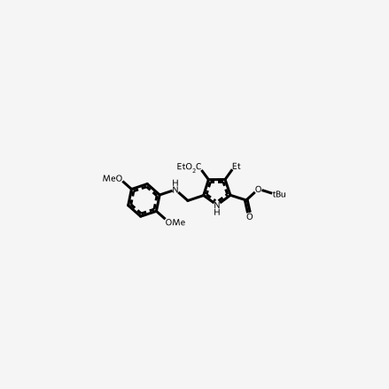 CCOC(=O)c1c(CNc2cc(OC)ccc2OC)[nH]c(C(=O)OC(C)(C)C)c1CC